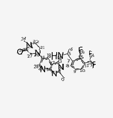 Cc1nc(NC(C)c2cccc(C(F)F)c2F)c2cc(N3CCN(C)C(=O)C3)cnc2n1